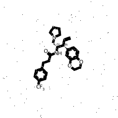 C=C[C@H](c1ccc2c(c1)OCCO2)[C@@H](CN1CCCC1)NC(=O)CCc1ccc(C(F)(F)F)cc1